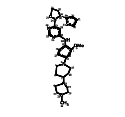 COc1cc(N2CCC(N3CCN(C)CC3)CC2)ccc1Nc1cc(N2OCC[C@@H]2c2cccs2)ncn1